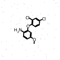 COc1ccc(N)c(Oc2ccc(Cl)cc2Cl)c1